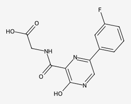 O=C(O)CNC(=O)c1nc(-c2cccc(F)c2)cnc1O